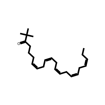 CC/C=C\C/C=C\C/C=C\C/C=C\C/C=C\CCCC(=O)C(C)(C)C